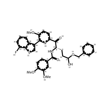 COc1ccc(C(=O)N[C@@H](CCC(O)OCc2ccccc2)C(=O)c2ccc(OC)c(-c3csc4c(F)cccc34)n2)cc1OC